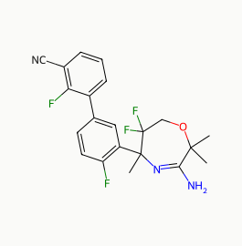 CC1(C)OCC(F)(F)C(C)(c2cc(-c3cccc(C#N)c3F)ccc2F)N=C1N